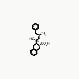 CN(Cc1ccccc1)C[C@@H](O)C1Cc2ccccc2CN1C(=O)O